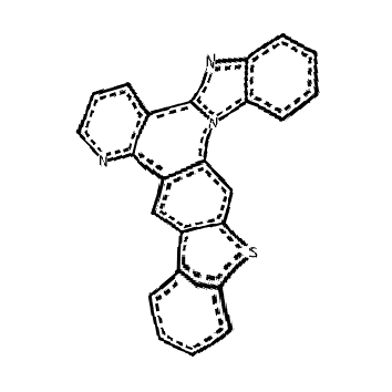 c1ccc2c(c1)nc1c3cccnc3c3cc4c(cc3n21)sc1ccccc14